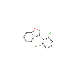 Clc1cccc(Br)c1-c1coc2ccccc12